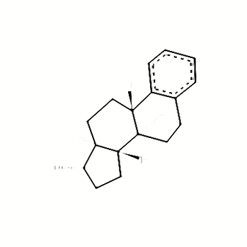 CC[C@H]1CC[C@H]2[C@@H]3CCc4ccccc4[C@H]3CC[C@]12C